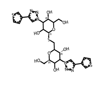 OCC1O[C@@H](SCC2O[C@H](CO)C(O)C(n3cc(-c4ccsc4)nn3)[C@H]2O)C(O)C(n2cc(-c3ccsc3)nn2)[C@H]1O